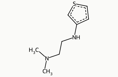 CN(C)CCNc1ccsc1